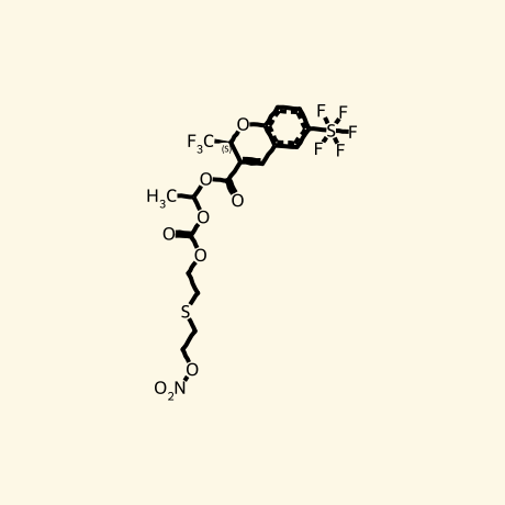 CC(OC(=O)OCCSCCO[N+](=O)[O-])OC(=O)C1=Cc2cc(S(F)(F)(F)(F)F)ccc2O[C@@H]1C(F)(F)F